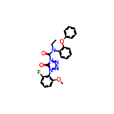 CCN(C(=O)n1nnn(-c2c(F)cccc2OC)c1=O)c1ccccc1Oc1ccccc1